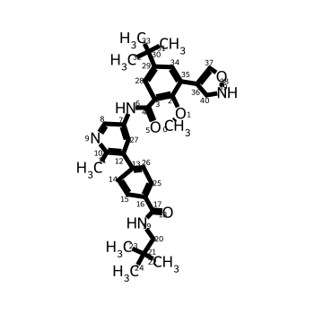 COc1c(C(=O)Nc2cnc(C)c(-c3ccc(C(=O)NCC(C)(C)C)cc3)c2)cc(C(C)(C)C)cc1C1=CONC1